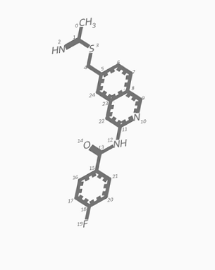 CC(=N)SCc1ccc2cnc(NC(=O)c3ccc(F)cc3)cc2c1